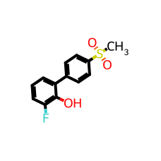 CS(=O)(=O)c1ccc(-c2cccc(F)c2O)cc1